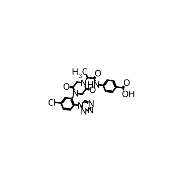 CC(C(=O)Nc1ccc(C(=O)O)cc1)N1CC(=O)N(c2cc(Cl)ccc2-n2cnnn2)CC1=O